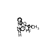 C[N+]1=C(C(F)I)C(C(=O)N2CCc3[nH]cnc3[C@H]2c2cc3ccccn3n2)=C1